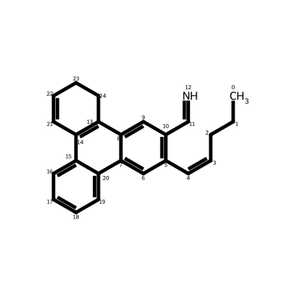 CCC/C=C\c1cc2c(cc1C=N)c1c(c3ccccc32)C=CCC1